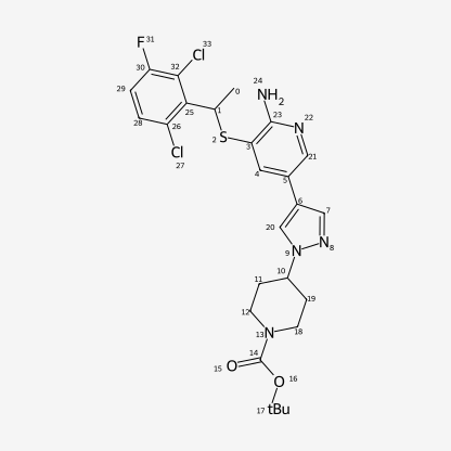 CC(Sc1cc(-c2cnn(C3CCN(C(=O)OC(C)(C)C)CC3)c2)cnc1N)c1c(Cl)ccc(F)c1Cl